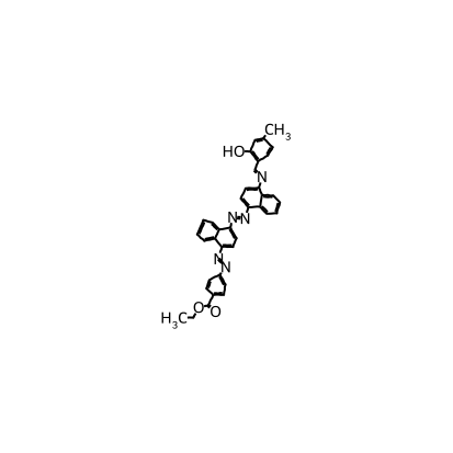 CCOC(=O)c1ccc(/N=N/c2ccc(/N=N/c3ccc(/N=C/c4ccc(C)cc4O)c4ccccc34)c3ccccc23)cc1